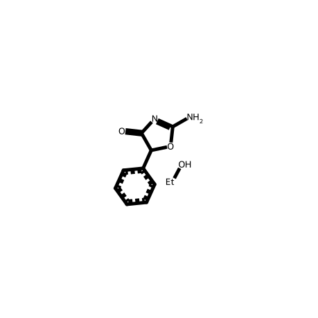 CCO.NC1=NC(=O)C(c2ccccc2)O1